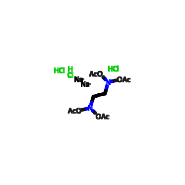 CC(=O)ON(CCN(OC(C)=O)OC(C)=O)OC(C)=O.Cl.Cl.Cl.[Na].[Na]